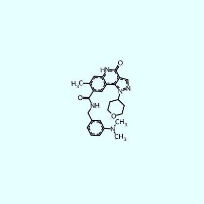 Cc1cc2[nH]c(=O)c3cnn(C4CCOCC4)c3c2cc1C(=O)NCc1cccc(N(C)C)c1